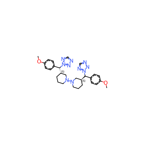 COc1ccc(C([C@H]2CCCN(N3CCC[C@H](C(c4ccc(OC)cc4)n4ncnn4)C3)C2)n2ncnn2)cc1